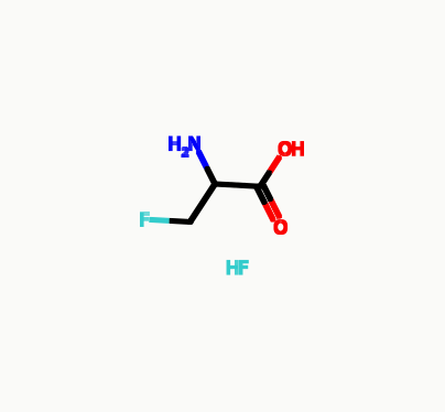 F.NC(CF)C(=O)O